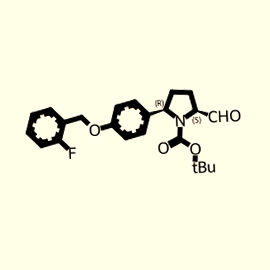 CC(C)(C)OC(=O)N1[C@H](C=O)CC[C@@H]1c1ccc(OCc2ccccc2F)cc1